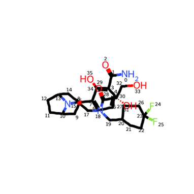 NC(=O)c1cccc(C2CC3CCC(C2)N3CCN(CC2CCC(F)(F)CC2)C(=O)[C@@H](O)CO)c1O